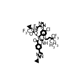 CC(C)(CCNC(=N)N(C(=O)c1ccc(-c2cnn(C3CC3)n2)cc1)[C@H](COC(=O)NC1(C(F)(F)F)CC1)c1ccc(Cl)c(-n2ncnc2C(F)F)c1)C(F)(F)F